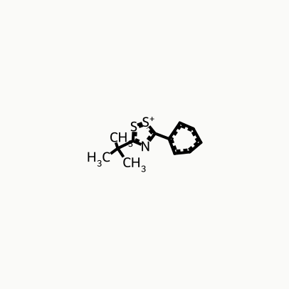 CC(C)(C)c1nc(-c2ccccc2)[s+]s1